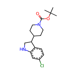 CC(C)(C)OC(=O)N1CCC(C2CNc3cc(Cl)ccc32)CC1